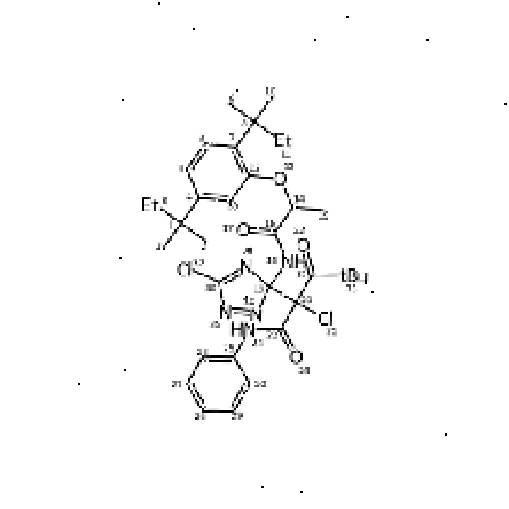 CCC(C)(C)c1ccc(C(C)(C)CC)c(OC(C)C(=O)NC2(C(Cl)(C(=O)Nc3ccccc3)C(=O)C(C)(C)C)N=NC(Cl)=N2)c1